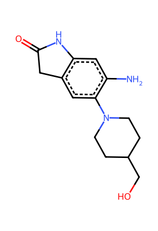 Nc1cc2c(cc1N1CCC(CO)CC1)CC(=O)N2